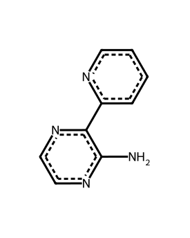 Nc1nccnc1-c1ccccn1